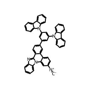 [C-]#[N+]c1ccc2c3cc(-c4cc(-n5c6ccccc6c6ccccc65)cc(-n5c6ccccc6c6ccccc65)c4)ccc3c3nc4ccccc4n3c2c1